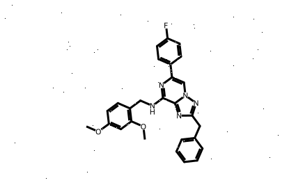 COc1ccc(CNc2nc(-c3ccc(F)cc3)cn3nc(Cc4ccccc4)nc23)c(OC)c1